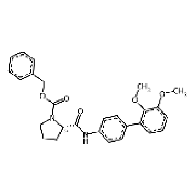 COc1cccc(-c2ccc(NC(=O)[C@@H]3CCCN3C(=O)OCc3ccccc3)cc2)c1OC